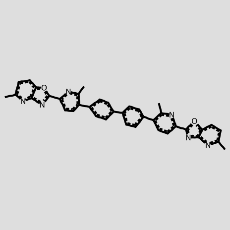 Cc1ccc2oc(-c3ccc(-c4ccc(-c5ccc(-c6ccc(-c7nc8nc(C)ccc8o7)nc6C)cc5)cc4)c(C)n3)nc2n1